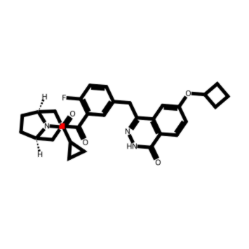 O=C(c1cc(Cc2n[nH]c(=O)c3ccc(OC4CCC4)cc23)ccc1F)N1C[C@H]2CC[C@@H](C1)N2C(=O)C1CC1